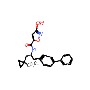 CCOC(=O)C1(C[C@H](Cc2ccc(-c3ccccc3)cc2)NC(=O)c2cc(O)no2)CC1